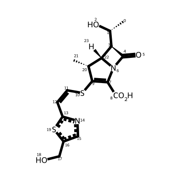 C[C@@H](O)[C@H]1C(=O)N2C(C(=O)O)=C(S/C=C\c3ncc(CO)s3)[C@H](C)[C@H]12